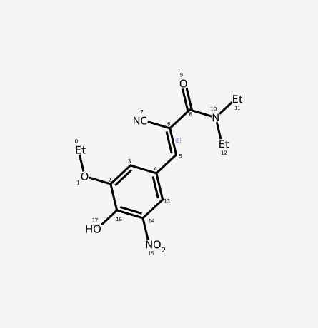 CCOc1cc(/C=C(\C#N)C(=O)N(CC)CC)cc([N+](=O)[O-])c1O